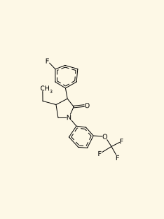 CCC1CN(c2cccc(OC(F)(F)F)c2)C(=O)C1c1cccc(F)c1